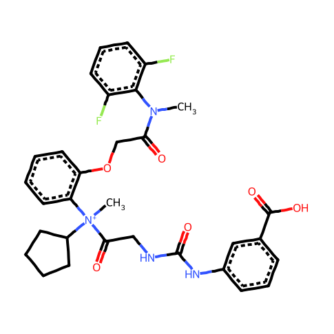 CN(C(=O)COc1ccccc1[N+](C)(C(=O)CNC(=O)Nc1cccc(C(=O)O)c1)C1CCCC1)c1c(F)cccc1F